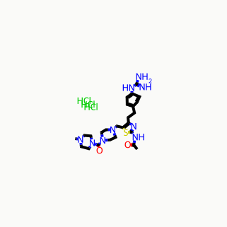 CC(=O)Nc1nc(CCc2ccc(NC(=N)N)cc2)c(CN2CCN(C(=O)N3CCN(C)CC3)CC2)s1.Cl.Cl.Cl